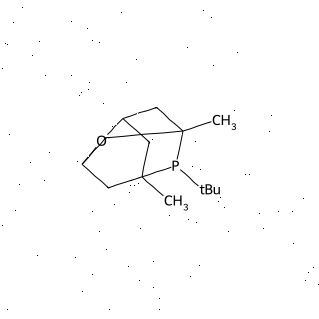 CC(C)(C)P1C2(C)CC3CC1(C)CC(C2)O3